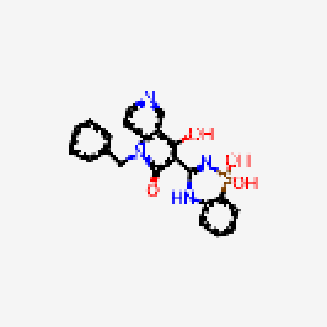 O=c1c(C2=NS(O)(O)c3ccccc3N2)c(O)c2cnccc2n1Cc1ccccc1